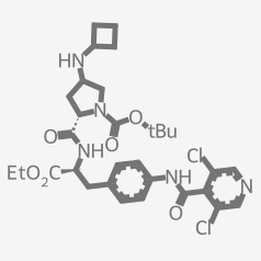 CCOC(=O)[C@H](Cc1ccc(NC(=O)c2c(Cl)cncc2Cl)cc1)NC(=O)[C@@H]1CC(NC2CCC2)CN1C(=O)OC(C)(C)C